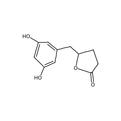 O=C1CCC(Cc2cc(O)cc(O)c2)O1